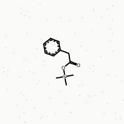 C[Si](C)(C)OC(=O)Cc1ccccc1